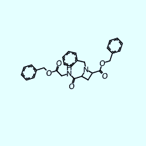 O=C(CNC(=O)C1CC(C(=O)OCc2ccccc2)N1Cc1ccccc1)OCc1ccccc1